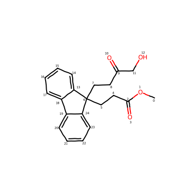 COC(=O)CCC1(CCC(=O)CO)c2ccccc2-c2ccccc21